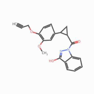 C#CCOc1ccc(C2CC2C(=O)n2nc(O)c3ccccc32)cc1OC